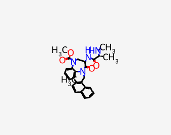 CN[C@@H](C)C(=O)NC1CN(C(=O)OC)c2ccccc2N(Cc2c(C)ccc3ccccc23)C1=O